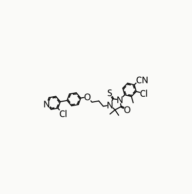 Cc1c(N2C(=O)C(C)(C)N(CCCOc3ccc(-c4ccncc4Cl)cc3)C2=S)ccc(C#N)c1Cl